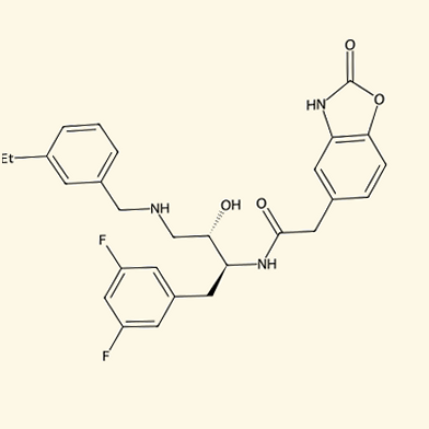 CCc1cccc(CNC[C@H](O)[C@H](Cc2cc(F)cc(F)c2)NC(=O)Cc2ccc3oc(=O)[nH]c3c2)c1